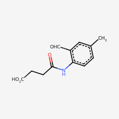 Cc1ccc(NC(=O)CCC(=O)O)c(C=O)c1